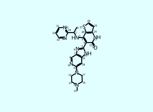 CC(Nc1c(-c2nc3cnc(N4CCN(C)CC4)cc3[nH]2)c(=O)[nH]c2ccsc12)c1ncccn1